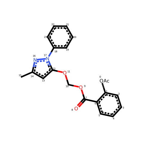 CC(=O)Oc1ccccc1C(=O)OCOc1cc(C)nn1-c1ccccc1